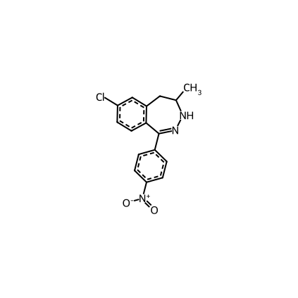 CC1Cc2cc(Cl)ccc2C(c2ccc([N+](=O)[O-])cc2)=NN1